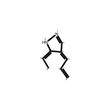 C=C/C=c1/cn[nH]/c1=C/C